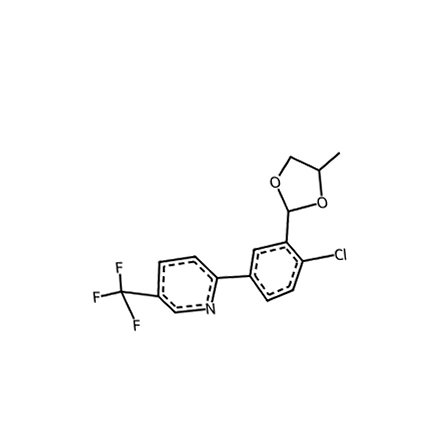 CC1COC(c2cc(-c3ccc(C(F)(F)F)cn3)ccc2Cl)O1